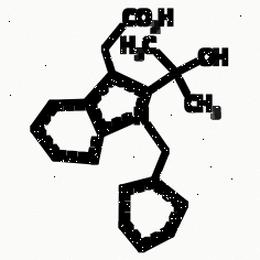 CC(C)(O)c1c(CC(=O)O)c2ccccc2n1Cc1ccccc1